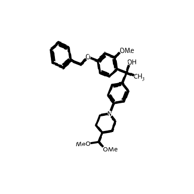 COc1cc(OCc2ccccc2)ccc1C(C)(O)c1ccc(N2CCC(C(OC)OC)CC2)cc1